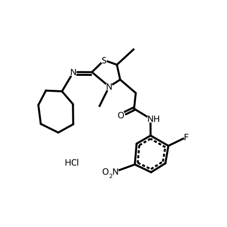 CC1SC(=NC2CCCCCC2)N(C)C1CC(=O)Nc1cc([N+](=O)[O-])ccc1F.Cl